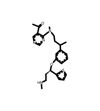 CNCC[C@@H](Oc1cccc(C(C)CCN(C)c2ncncc2C(C)=O)c1)c1cccs1